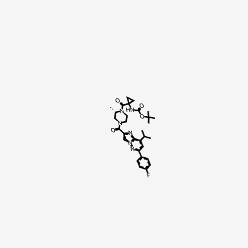 CC(C)c1cc(-c2ccc(F)cc2)nn2cc(C(=O)N3CCN(C(=O)C4(NC(=O)OC(C)(C)C)CC4)[C@@H](C)C3)nc12